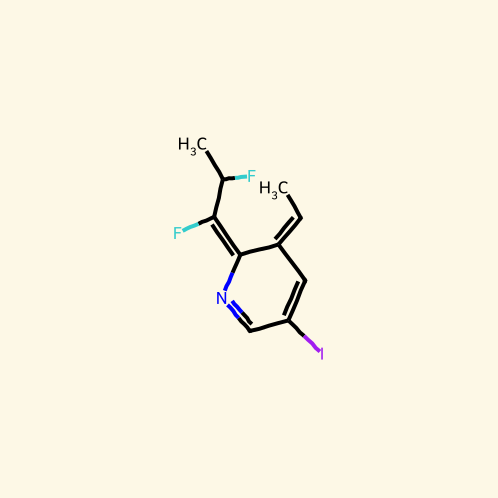 C/C=c1/cc(I)cn/c1=C(\F)C(C)F